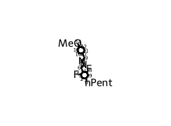 CCCCCc1cc(F)c(C=NN=Cc2ccc(OC)cc2)c(F)c1